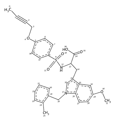 CC#CCOc1ccc(S(=O)(=O)NC(Cc2cn(Cc3ccccc3C)c3ccc(OC)cc23)C(=O)O)cc1